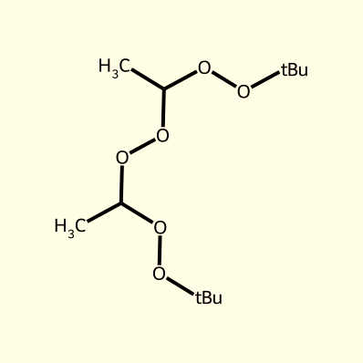 CC(OOC(C)OOC(C)(C)C)OOC(C)(C)C